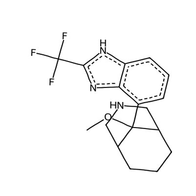 COC1(c2cccc3[nH]c(C(F)(F)F)nc23)C2CCCC1CNC2